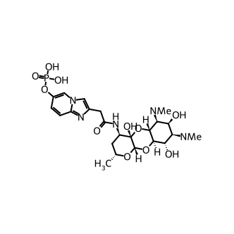 CN[C@@H]1[C@H](O)[C@H](NC)[C@H]2O[C@]3(O)[C@H](O[C@@H]2[C@H]1O)O[C@H](C)C[C@H]3NC(=O)Cc1cn2cc(OP(=O)(O)O)ccc2n1